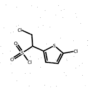 O=S(=O)(Cl)C(CCl)c1ccc(Cl)s1